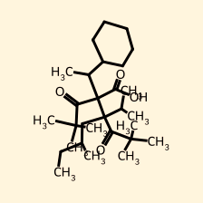 CCC(C)CC(C(=O)C(C)(C)C)(C(C)C)C(C(=O)O)(C(=O)C(C)(C)C)C(C)C1CCCCC1